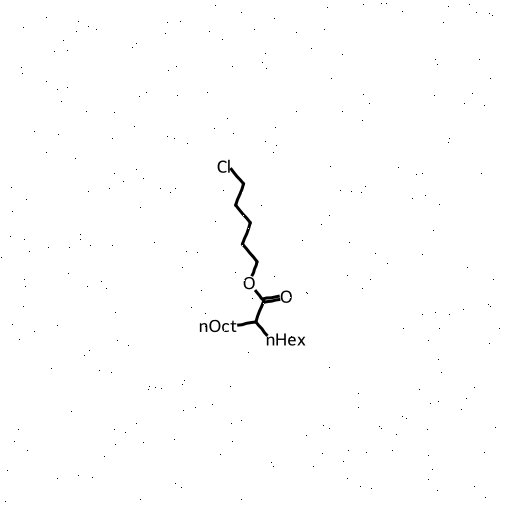 CCCCCCCCC(CCCCCC)C(=O)OCCCCCCl